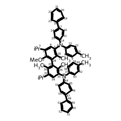 COc1c(C(C)C)cc(N(c2ccc(C)cc2)c2ccc(-c3ccccc3)cc2)c(C)c1-c1c(C)c(C(C)C)cc(N(c2ccc(C)cc2)c2ccc(-c3ccccc3)cc2)c1C